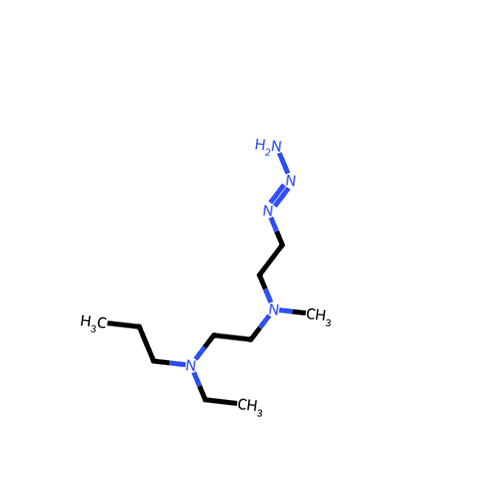 CCCN(CC)CCN(C)CCN=NN